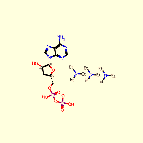 CCN(CC)CC.CCN(CC)CC.CCN(CC)CC.Nc1ncnc2c1ncn2[C@@H]1O[C@H](COP(=O)(O)OP(=O)(O)O)C[C@H]1O